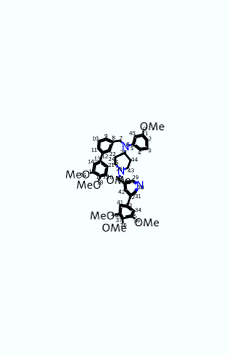 COc1cccc(N(Cc2cccc(-c3cc(OC)c(OC)c(OC)c3)c2)C2CCN(Cc3cncc(-c4cc(OC)c(OC)c(OC)c4)c3)CC2)c1